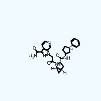 NC(=O)c1nn(CC(=O)N2[C@@H]3C[C@@H]3C[C@H]2C(=O)N[C@H]2CC[C@H](c3ccccc3)C2)c2cnccc12